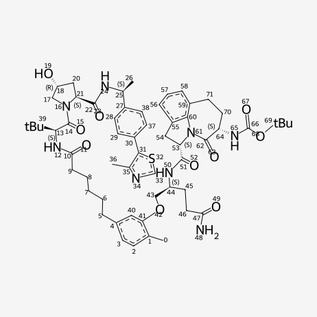 Cc1ccc(CCCCCC(=O)N[C@H](C(=O)N2C[C@H](O)C[C@H]2C(=O)N[C@@H](C)c2ccc(-c3scnc3C)cc2)C(C)(C)C)cc1OC[C@H](CCC(N)=O)NC(=O)[C@@H]1Cc2cccc3c2N1C(=O)[C@@H](NC(=O)OC(C)(C)C)CC3